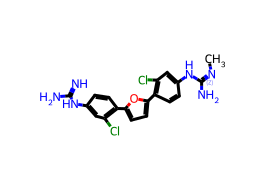 C/N=C(/N)Nc1ccc(-c2ccc(-c3ccc(NC(=N)N)cc3Cl)o2)c(Cl)c1